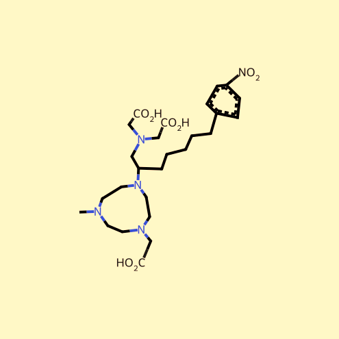 CN1CCN(CC(=O)O)CCN(C(CCCCCc2ccc([N+](=O)[O-])cc2)CN(CC(=O)O)CC(=O)O)CC1